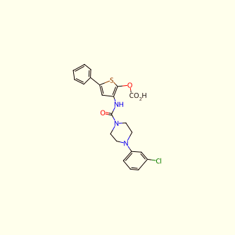 O=C(O)Oc1sc(-c2ccccc2)cc1NC(=O)N1CCN(c2cccc(Cl)c2)CC1